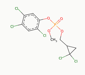 COP(=O)(OCC1CC1(Cl)Cl)Oc1cc(Cl)c(Cl)cc1Cl